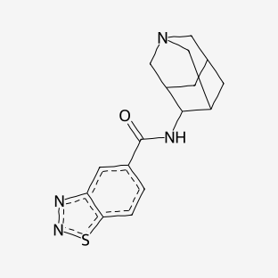 O=C(NC1C2CC3CC1CN(C3)C2)c1ccc2snnc2c1